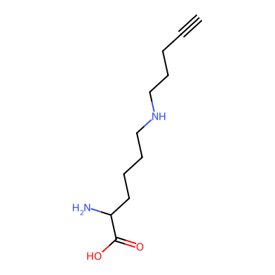 C#CCCCNCCCCC(N)C(=O)O